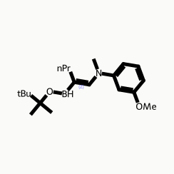 CCC/C(BOC(C)(C)C(C)(C)C)=C\N(C)c1cccc(OC)c1